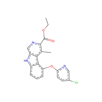 CCOC(=O)c1ncc2[nH]c3cccc(Oc4ccc(Cl)cn4)c3c2c1C